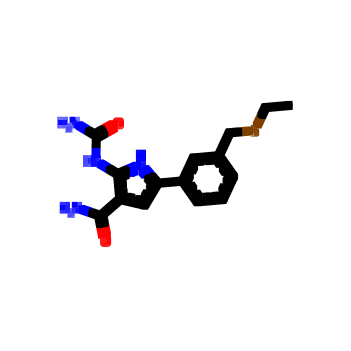 CCSCc1cccc(-c2cc(C(N)=O)c(NC(N)=O)[nH]2)c1